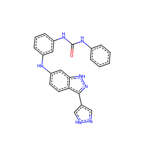 O=C(Nc1ccccc1)Nc1cccc(Nc2ccc3c(-c4cn[nH]c4)n[nH]c3c2)c1